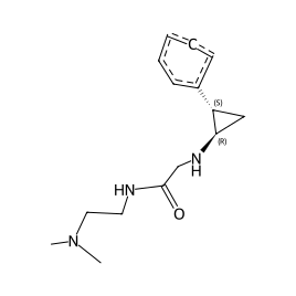 CN(C)CCNC(=O)CN[C@@H]1C[C@H]1c1ccccc1